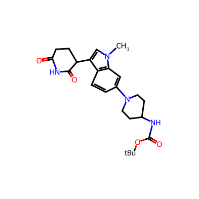 Cn1cc(C2CCC(=O)NC2=O)c2ccc(N3CCC(NC(=O)OC(C)(C)C)CC3)cc21